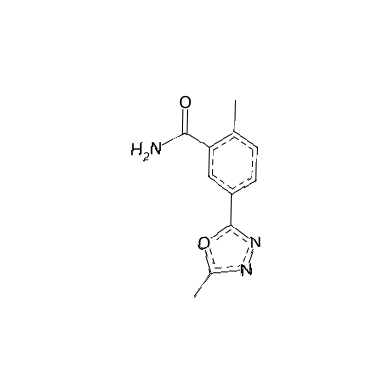 Cc1nnc(-c2ccc(C)c(C(N)=O)c2)o1